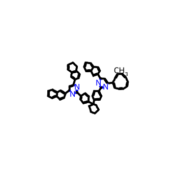 Cc1cccccccc(-c2cc(-c3ccc4ccccc4c3)nc(-c3ccc(C4(c5ccc(-c6nc(-c7ccc8c(c7)C=CCC8)cc(-c7ccc8ccccc8c7)n6)cc5)CCCCC4)cc3)n2)c1